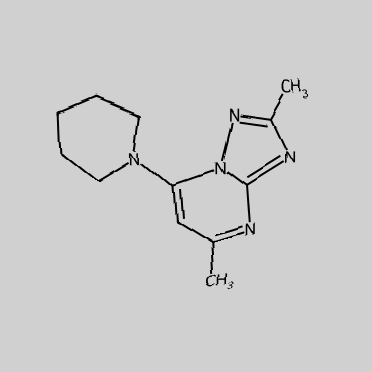 Cc1cc(N2CCCCC2)n2nc(C)nc2n1